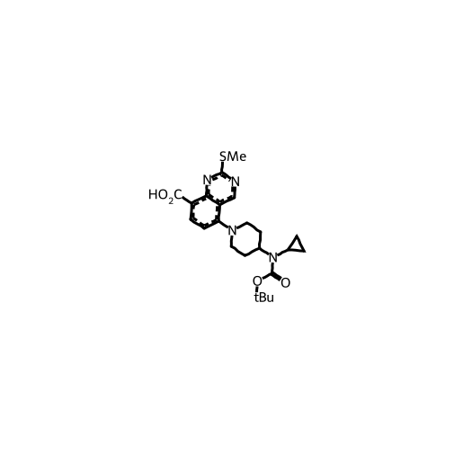 CSc1ncc2c(N3CCC(N(C(=O)OC(C)(C)C)C4CC4)CC3)ccc(C(=O)O)c2n1